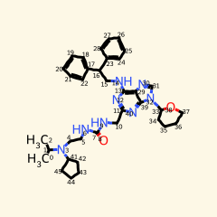 CC(C)N(CCNC(=O)NCc1nc(NCC(c2ccccc2)c2ccccc2)c2ncn(C3CCCCO3)c2n1)C1CCCC1